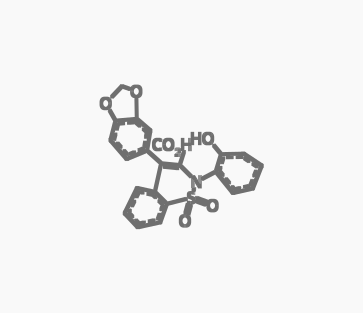 O=C(O)C1=C(c2ccc3c(c2)OCO3)c2ccccc2S(=O)(=O)N1c1ccccc1O